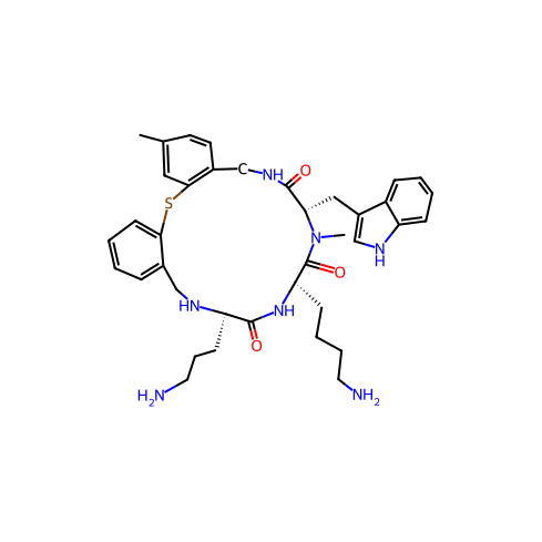 Cc1ccc2c(c1)Sc1ccccc1CN[C@@H](CCCN)C(=O)N[C@@H](CCCCN)C(=O)N(C)[C@@H](Cc1c[nH]c3ccccc13)C(=O)NC2